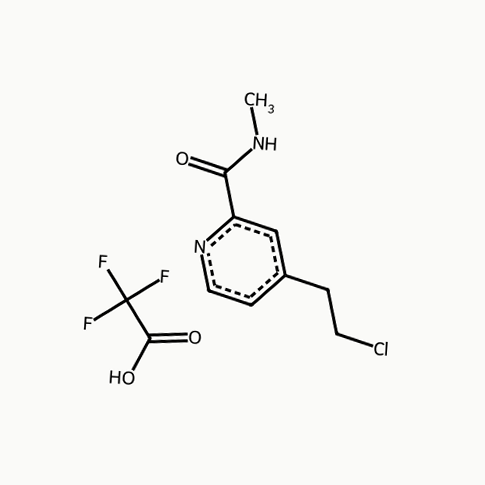 CNC(=O)c1cc(CCCl)ccn1.O=C(O)C(F)(F)F